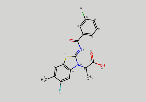 Cc1cc2s/c(=N\C(=O)c3cccc(Cl)c3)n(C(C)C(=O)O)c2cc1F